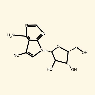 N#Cc1cn([C@@H]2O[C@H](CO)[C@H](O)C2O)c2ncnc(N)c12